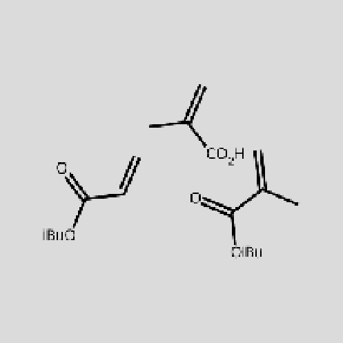 C=C(C)C(=O)O.C=C(C)C(=O)OCC(C)C.C=CC(=O)OCC(C)C